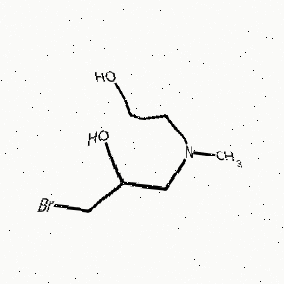 CN(CCO)CC(O)CBr